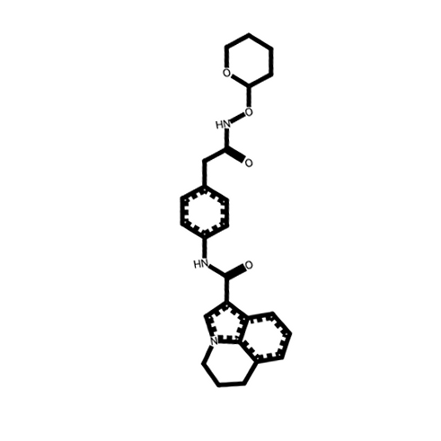 O=C(Cc1ccc(NC(=O)c2cn3c4c(cccc24)CCC3)cc1)NOC1CCCCO1